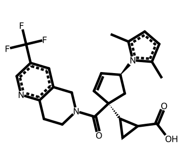 Cc1ccc(C)n1[C@@H]1C=C[C@@](C(=O)N2CCc3ncc(C(F)(F)F)cc3C2)(C2CC2C(=O)O)C1